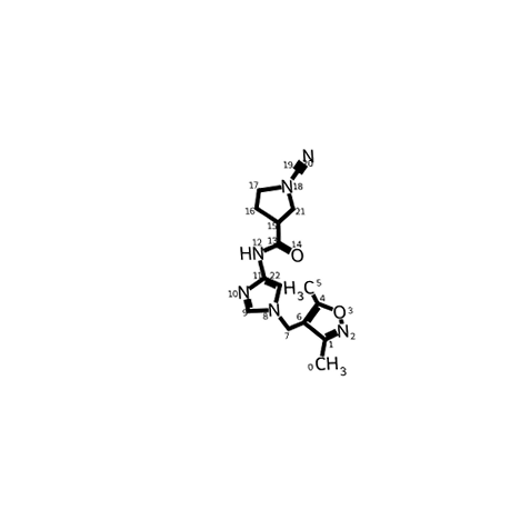 Cc1noc(C)c1Cn1cnc(NC(=O)C2CCN(C#N)C2)c1